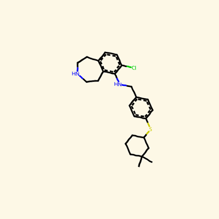 CC1(C)CCCC(Sc2ccc(CNc3c(Cl)ccc4c3CCNCC4)cc2)C1